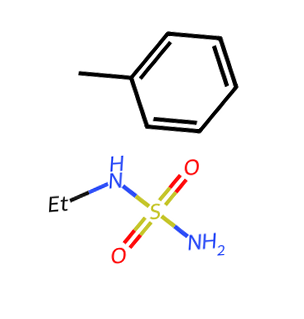 CCNS(N)(=O)=O.Cc1ccccc1